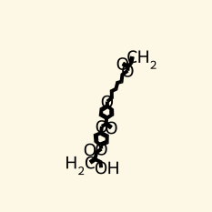 C=CC(=O)OCCCCCCOc1ccc(C(=O)Oc2ccc(OC(=O)C(=C)CO)cc2)cc1